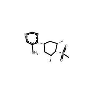 C[C@@H]1C[C@H](c2ccncc2N)C[C@H](C)[C@@H]1S(C)(=O)=O